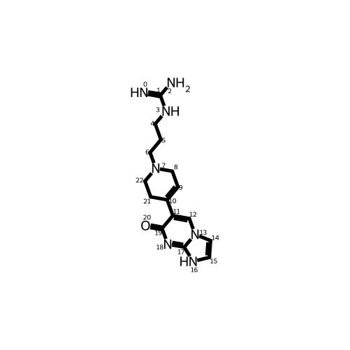 N=C(N)NCCCN1CC=C(c2cn3cc[nH]c3nc2=O)CC1